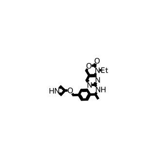 CCN1C(=O)OCc2cnc(NC(C)c3ccc(COC4CNC4)cc3)nc21